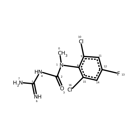 CN(C(=O)NC(=N)N)c1c(Cl)cc(F)cc1Cl